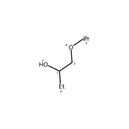 CCC(O)COC(C)C